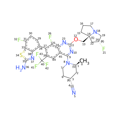 C[C@H]1C[C@H](C#N)CCN1c1nc(OC[C@@]23CCCN2C[C@H](F)C3)nc2c(F)c(-c3ccc(F)c4sc(N)nc34)c(C(F)(F)F)cc12